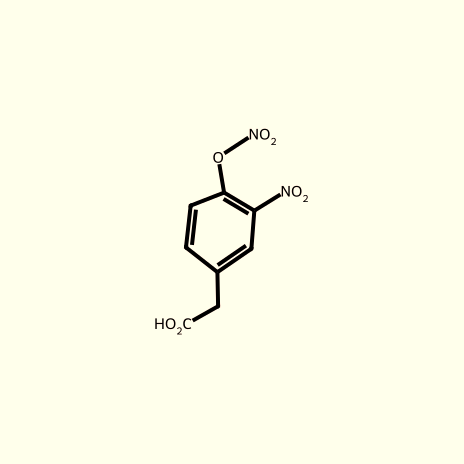 O=C(O)Cc1ccc(O[N+](=O)[O-])c([N+](=O)[O-])c1